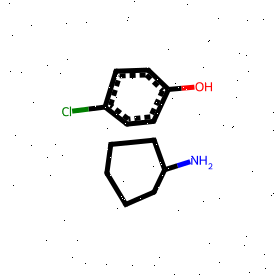 NC1CCCCC1.Oc1ccc(Cl)cc1